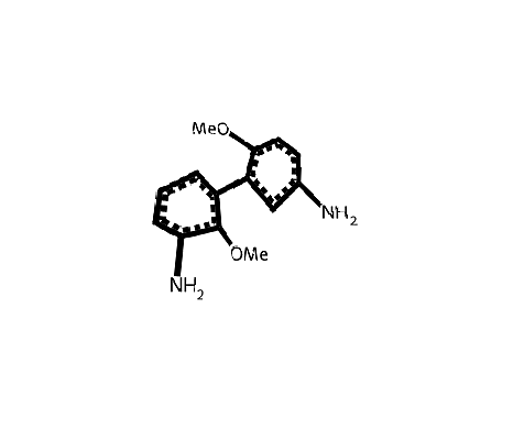 COc1ccc(N)cc1-c1cccc(N)c1OC